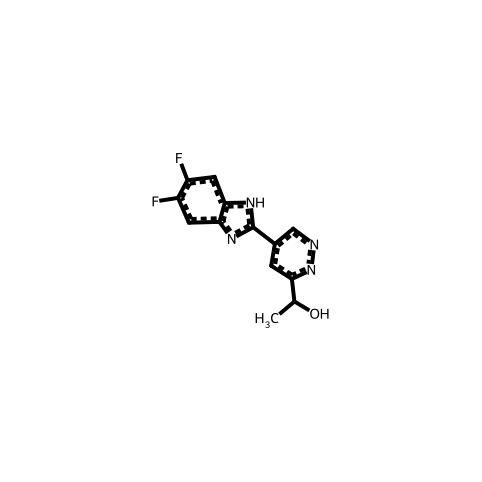 CC(O)c1cc(-c2nc3cc(F)c(F)cc3[nH]2)cnn1